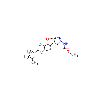 CCOC(=O)Nc1cc2c(cn1)COc1c-2ccc(OC[C@H](C)CC(C)C)c1Cl